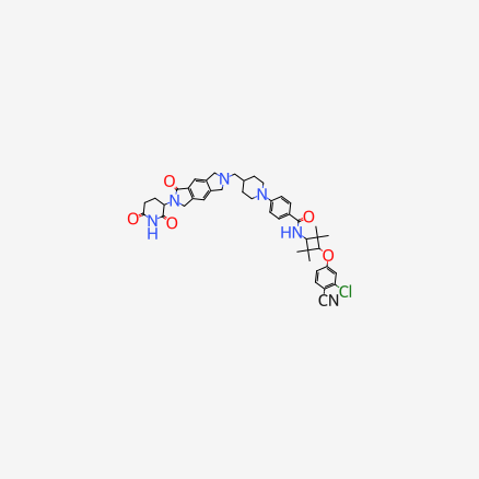 CC1(C)C(NC(=O)c2ccc(N3CCC(CN4Cc5cc6c(cc5C4)C(=O)N(C4CCC(=O)NC4=O)C6)CC3)cc2)C(C)(C)C1Oc1ccc(C#N)c(Cl)c1